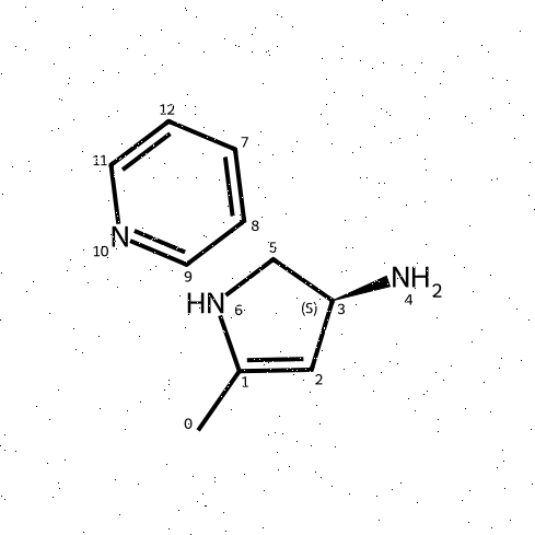 CC1=C[C@H](N)CN1.c1ccncc1